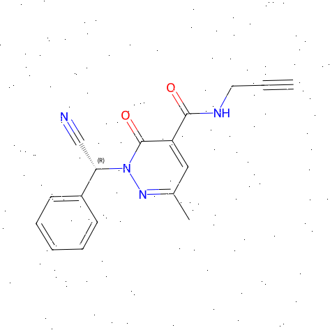 C#CCNC(=O)c1cc(C)nn([C@@H](C#N)c2ccccc2)c1=O